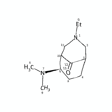 CCN1CC2CC[C@@H](N(C)C)C(C1)C2=O